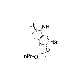 CCCOCC(C)Oc1nc(C)c(C(=N)N(C)CC)cc1Br